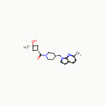 C[C@]1(O)C[C@@H](C(=O)N2CCC(Cn3ccc4ccc(C(F)(F)F)nc43)CC2)C1